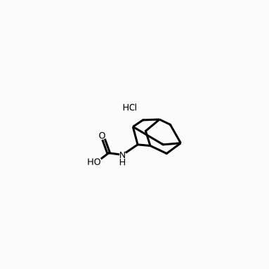 Cl.O=C(O)NC1C2CC3CC(C2)CC1C3